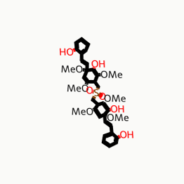 COC1=CC(/C=C/c2ccccc2O)(OC)C(O)=C(OC)C1CS(=O)(=O)CC1C(OC)=CC(/C=C/c2ccccc2O)(OC)C(O)=C1OC